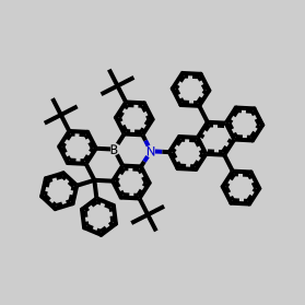 CC(C)(C)c1ccc2c(c1)B1c3cc(C(C)(C)C)ccc3C(c3ccccc3)(c3ccccc3)c3cc(C(C)(C)C)cc(c31)N2c1ccc2c(-c3ccccc3)c3ccccc3c(-c3ccccc3)c2c1